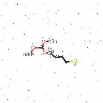 CCCCOC(OCCCC)O[SiH2]CCCS